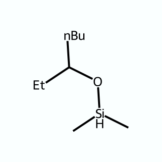 CCCCC(CC)O[SiH](C)C